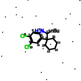 CCCCC(N)C1(c2ccc(Cl)c(Cl)c2)CCCCC1